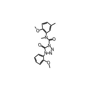 COc1ccc(C)cc1N(C)C(=O)n1nnn(-c2ccccc2OC)c1=O